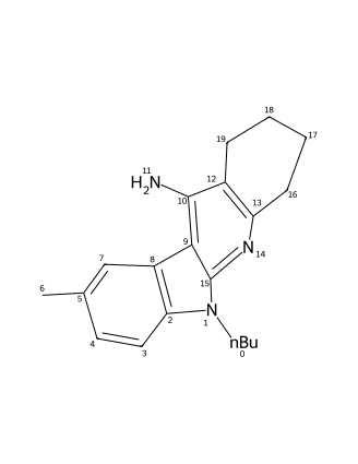 CCCCn1c2ccc(C)cc2c2c(N)c3c(nc21)CCCC3